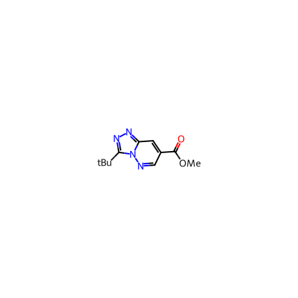 COC(=O)c1cnn2c(C(C)(C)C)nnc2c1